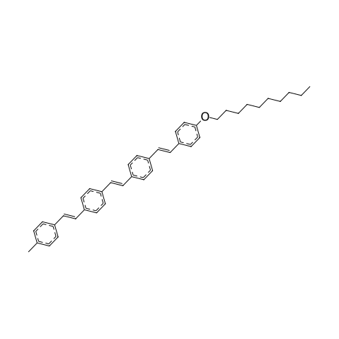 CCCCCCCCCCOc1ccc(C=Cc2ccc(C=Cc3ccc(C=Cc4ccc(C)cc4)cc3)cc2)cc1